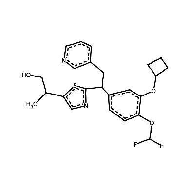 CC(CO)c1cnc(C(Cc2cccnc2)c2ccc(OC(F)F)c(OC3CCC3)c2)s1